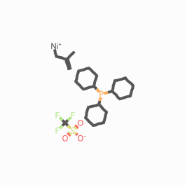 C1CCC(P(C2CCCCC2)C2CCCCC2)CC1.C=C(C)[CH2][Ni+].O=S(=O)([O-])C(F)(F)F